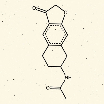 CC(=O)NC1CCc2cc3c(cc2C1)OCC3=O